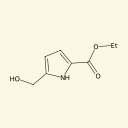 CCOC(=O)c1ccc(CO)[nH]1